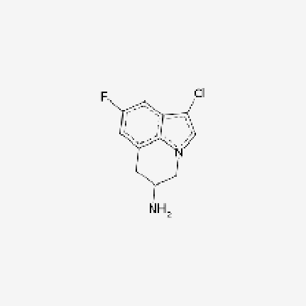 NC1Cc2cc(F)cc3c(Cl)cn(c23)C1